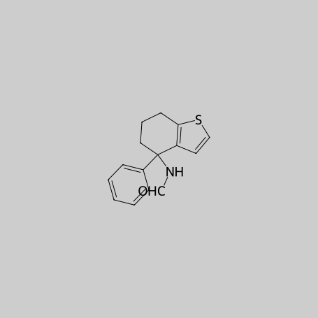 O=CNC1(c2ccccc2)CCCc2sccc21